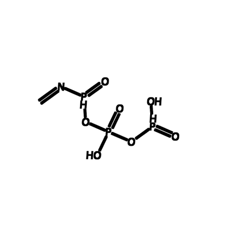 C=N[PH](=O)OP(=O)(O)O[PH](=O)O